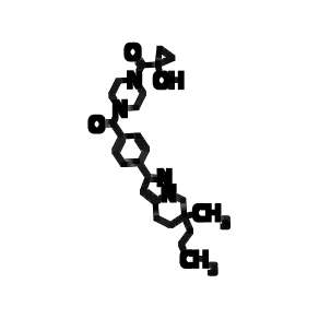 CCCC1(C)CCc2cc(-c3ccc(C(=O)N4CCN(C(=O)C5(O)CC5)CC4)cc3)nn2C1